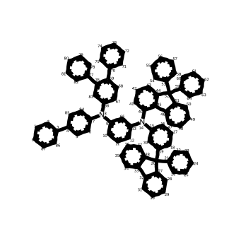 c1ccc(-c2ccc(N(c3cccc(N(c4cccc(C5(c6ccccc6)c6ccccc6-c6ccccc65)c4)c4cccc5c4-c4ccccc4C5(c4ccccc4)c4ccccc4)c3)c3ccc(-c4ccccc4)c(-c4ccccc4)c3)cc2)cc1